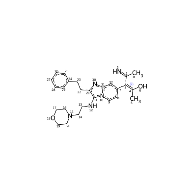 CC(=N)/C(=C(/C)O)c1ccn2c(NCCN3CCOCC3)c(CCc3ccccc3)nc2c1